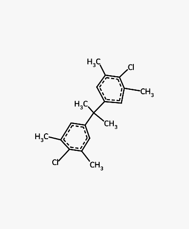 Cc1cc(C(C)(C)c2cc(C)c(Cl)c(C)c2)cc(C)c1Cl